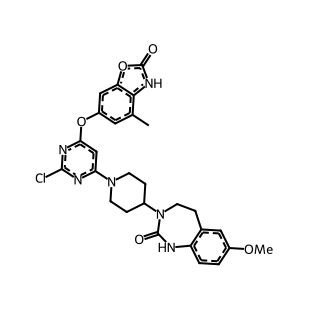 COc1ccc2c(c1)CCN(C1CCN(c3cc(Oc4cc(C)c5[nH]c(=O)oc5c4)nc(Cl)n3)CC1)C(=O)N2